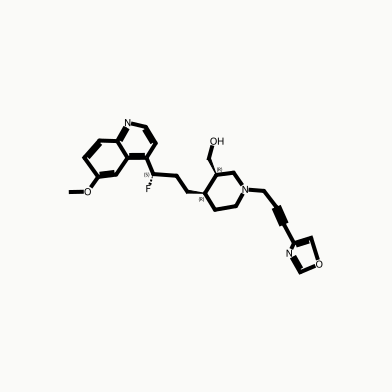 COc1ccc2nccc([C@@H](F)CC[C@@H]3CCN(CC#Cc4cocn4)C[C@@H]3CO)c2c1